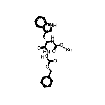 CC(C)(C)OC(=O)N[C@@H](Cc1c[nH]c2ccccc12)C(=O)NNC(=O)OCc1ccccc1